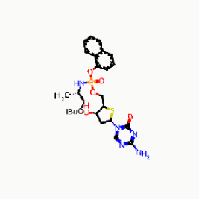 CC(C)COC[C@H](C)NP(=O)(OC[C@H]1S[C@@H](n2cnc(N)nc2=O)C[C@H]1O)Oc1cccc2ccccc12